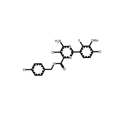 COc1c(Cl)ccc(-c2nc(N)c(Cl)c(C(=O)OCc3ccc(Cl)cc3)n2)c1F